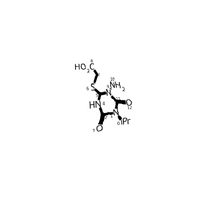 CC(C)N1C(=O)NC(SCC(=O)O)N(N)C1=O